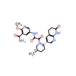 COc1ncc(NC(=O)C(=O)N2C[C@H](C)CC[C@H]2c2cnc3c(c2)CCC(=O)N3)cc1C(N)=O